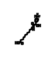 O=C(O)CCCCCCCCCCCNC(=O)C(O)c1ccc(C(F)(F)F)cc1